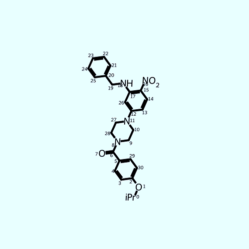 CC(C)Oc1ccc(C(=O)N2CCN(c3ccc([N+](=O)[O-])c(NCc4ccccc4)c3)CC2)cc1